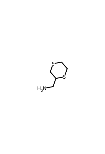 NCC1CSCCS1